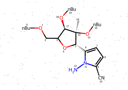 CCCCOCC1O[C@@H](c2ccc(C#N)n2N)[C@](C)(OCCCC)[C@@H]1OCCCC